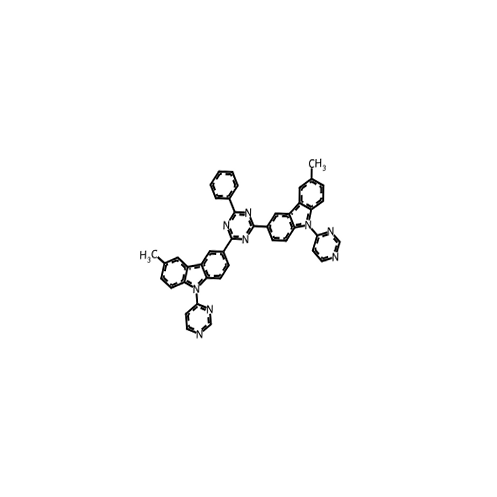 Cc1ccc2c(c1)c1cc(-c3nc(-c4ccccc4)nc(-c4ccc5c(c4)c4cc(C)ccc4n5-c4ccncn4)n3)ccc1n2-c1ccncn1